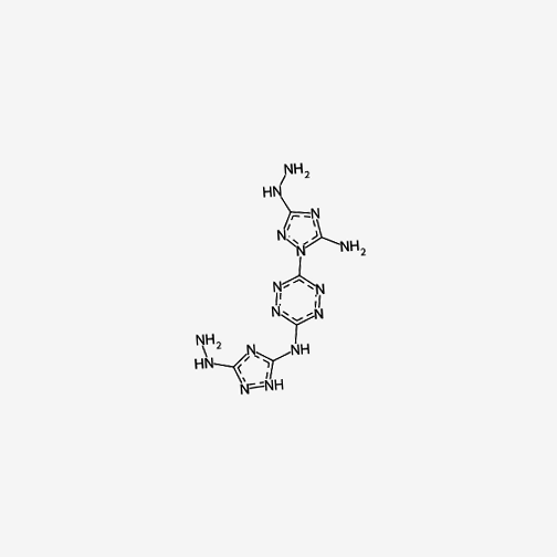 NNc1n[nH]c(Nc2nnc(-n3nc(NN)nc3N)nn2)n1